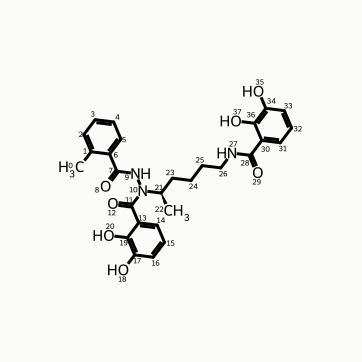 Cc1ccccc1C(=O)NN(C(=O)c1cccc(O)c1O)[C@H](C)CCCCNC(=O)c1cccc(O)c1O